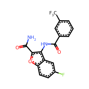 NC(=O)c1oc2ccc(F)cc2c1NC(=O)c1cccc(C(F)(F)F)c1